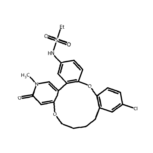 CCS(=O)(=O)Nc1ccc2c(c1)-c1cn(C)c(=O)cc1OCCCCc1cc(Cl)ccc1O2